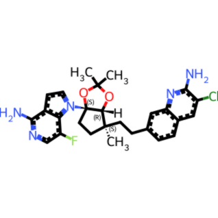 CC1(C)O[C@@H]2[C@@](C)(CCc3ccc4cc(Cl)c(N)nc4c3)CC[C@]2(n2ccc3c(N)ncc(F)c32)O1